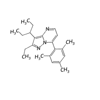 CCc1nn2c(-c3c(C)cc(C)cc3C)ccnc2c1C(CC)CC